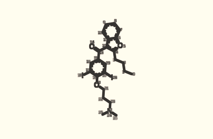 CCCCc1oc2ccccc2c1C(=O)c1cc(I)c(OCCCN(C)C)c(I)c1